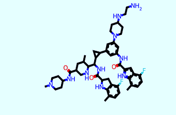 Cc1ccc(F)c2c1NC(C(=O)NC(C1CC1c1cc(NC(=O)c3cc4c(F)ccc(C)c4[nH]3)cc(N3CCC(NCCN)CC3)c1)C1NCC(C(=O)NC3CCN(C)CC3)CC1C)C2